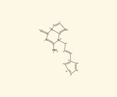 Nc1nc(=O)n2ccnc2n1CC=Cc1ccccc1